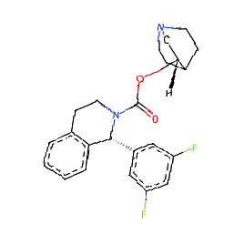 O=C(O[C@@H]1CN2CCC1CC2)N1CCc2ccccc2[C@H]1c1cc(F)cc(F)c1